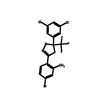 Cc1cc(Br)ccc1C1=NOC(c2cc(Cl)cc(Cl)c2)(C(F)(F)F)C1